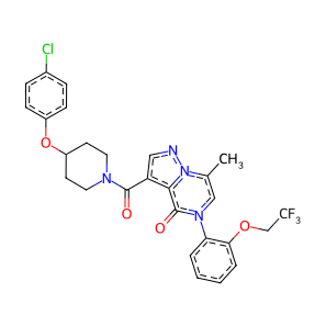 Cc1cn(-c2ccccc2OCC(F)(F)F)c(=O)c2c(C(=O)N3CCC(Oc4ccc(Cl)cc4)CC3)cnn12